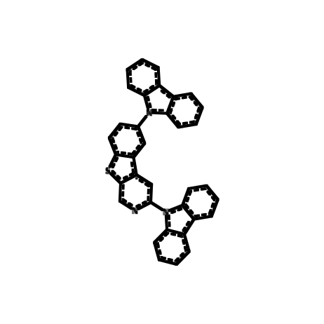 c1ccc2c(c1)c1ccccc1n2-c1ccc2sc3cnc(-n4c5ccccc5c5ccccc54)cc3c2c1